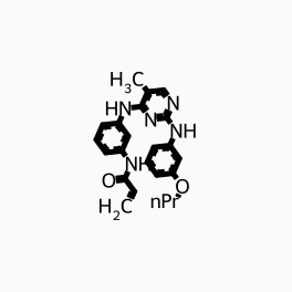 C=CC(=O)Nc1cccc(Nc2nc(Nc3cccc(OCCC)c3)ncc2C)c1